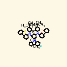 CC(C)(C)c1ccc2c(c1)B1c3cc(C(C)(C)C)ccc3N(c3cccc4c3sc3ccccc34)c3cc(N4c5ccc(F)cc5C5(C)CCCC45C)cc(c31)N2c1cccc2c1oc1ccccc12